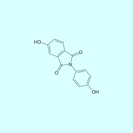 O=C1c2ccc(O)cc2C(=O)N1c1ccc(O)cc1